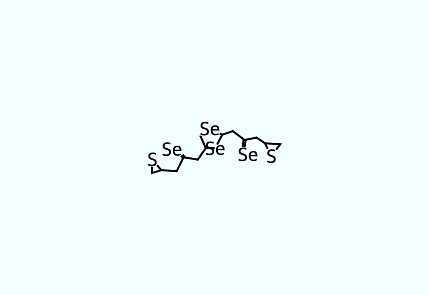 [Se]=C(CC1CS1)CC1C[Se]C(CC(=[Se])CC2CS2)[Se]1